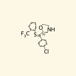 FC(F)(F)c1ccccc1S[C@@H](c1ccc(Cl)cc1)[C@@H]1CNCCO1